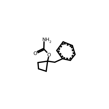 NC(=O)OC1(Cc2ccccc2)CCC1